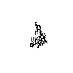 C#CC(=O)C1C(C(=O)NCc2ccc(F)cc2F)=CN2NCN(C[C@H]3CCCO3)C(C(=O)C#C)C2=C1O